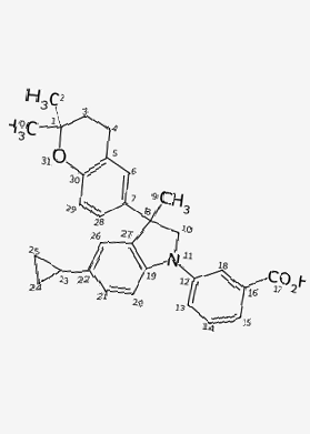 CC1(C)CCc2cc(C3(C)CN(c4cccc(C(=O)O)c4)c4ccc(C5CC5)cc43)ccc2O1